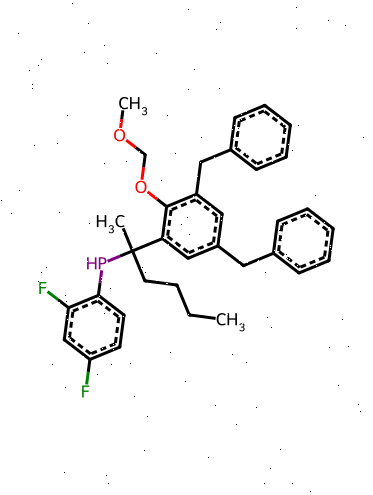 CCCCC(C)(Pc1ccc(F)cc1F)c1cc(Cc2ccccc2)cc(Cc2ccccc2)c1OCOC